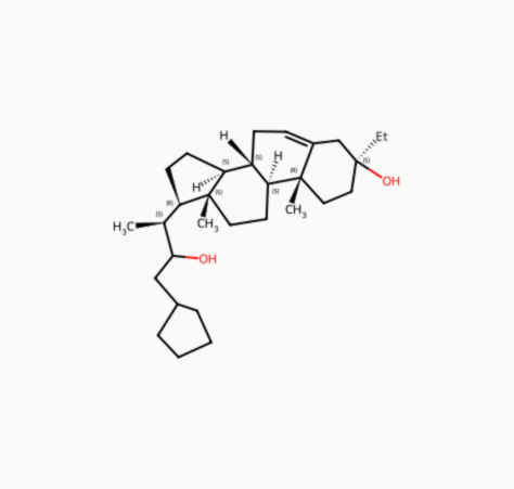 CC[C@]1(O)CC[C@@]2(C)C(=CC[C@H]3[C@@H]4CC[C@H]([C@H](C)C(O)CC5CCCC5)[C@@]4(C)CC[C@@H]32)C1